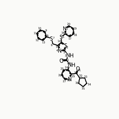 O=C(Nc1nc(CSc2ccccc2)c(Sc2ccccn2)s1)Nc1cccnc1C(=O)C1CCCC1